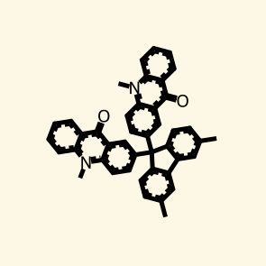 Cc1ccc2c(c1)-c1cc(C)ccc1C2(c1ccc2c(c1)c(=O)c1ccccc1n2C)c1ccc2c(c1)c(=O)c1ccccc1n2C